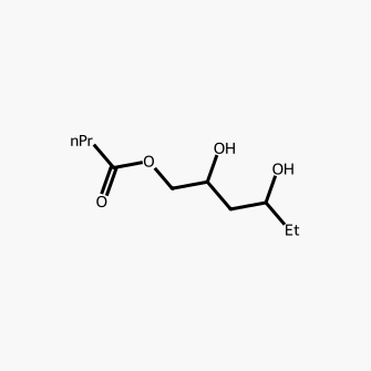 CCCC(=O)OCC(O)CC(O)CC